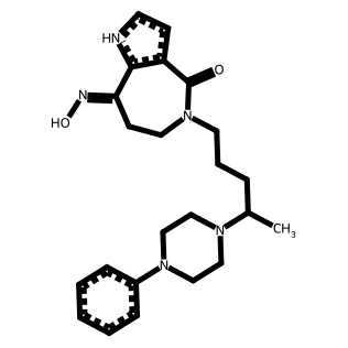 CC(CCCN1CCC(=NO)c2[nH]ccc2C1=O)N1CCN(c2ccccc2)CC1